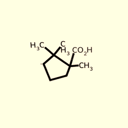 CC1(C)[CH]CCC1(C)C(=O)O